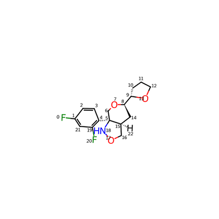 Fc1ccc([C@]23CO[C@@H]([C@@H]4CCCO4)C[C@H]2CON3)c(F)c1